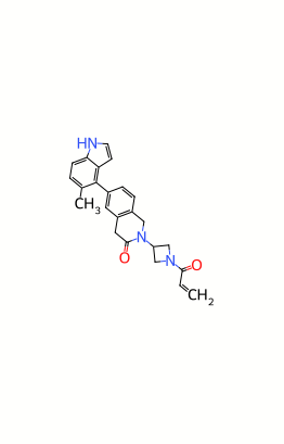 C=CC(=O)N1CC(N2Cc3ccc(-c4c(C)ccc5[nH]ccc45)cc3CC2=O)C1